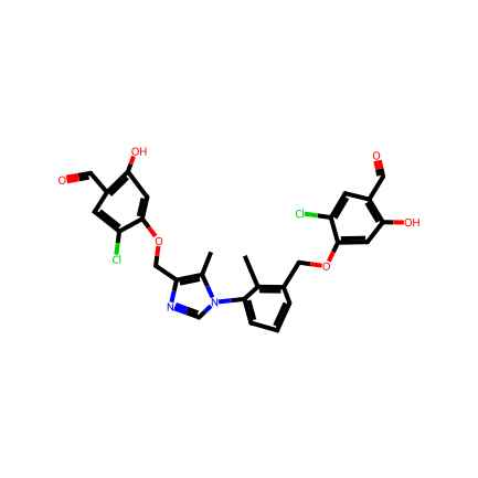 Cc1c(COc2cc(O)c(C=O)cc2Cl)cccc1-n1cnc(COc2cc(O)c(C=O)cc2Cl)c1C